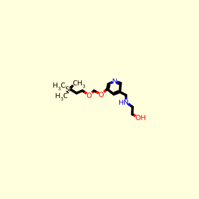 C[Si](C)(C)CCOCOc1cncc(CNCCO)c1